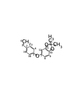 C=Cc1ccc(Oc2ccc3c(c2)OC(C)(C)O3)cc1